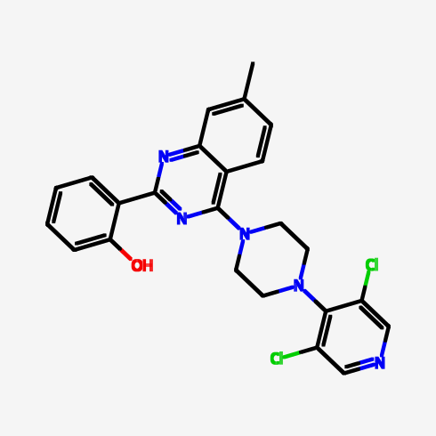 Cc1ccc2c(N3CCN(c4c(Cl)cncc4Cl)CC3)nc(-c3ccccc3O)nc2c1